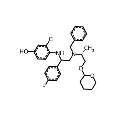 C[C@H](COC1CCCCO1)N(Cc1ccccc1)CC(Nc1ccc(O)cc1Cl)c1ccc(F)cc1